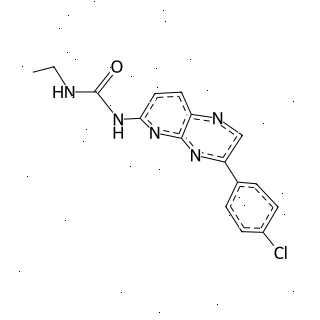 CCNC(=O)Nc1ccc2ncc(-c3ccc(Cl)cc3)nc2n1